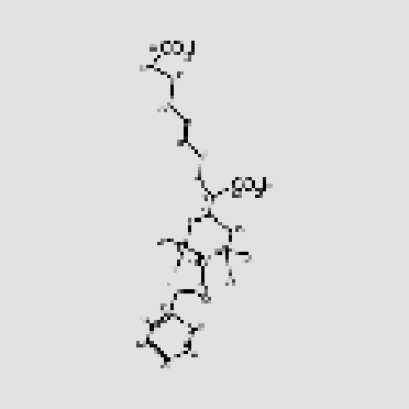 CC1(C)CC(C(CCCCCCCC(=O)O)C(=O)O)CC(C)(C)N1OCc1ccccc1